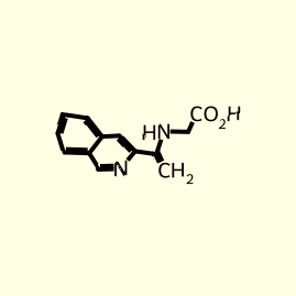 C=C(NCC(=O)O)c1cc2ccccc2cn1